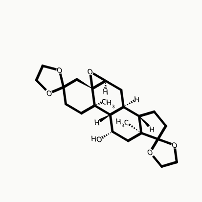 C[C@]12C[C@H](O)[C@H]3[C@@H](C[C@@H]4O[C@]45CC4(CC[C@]35C)OCCO4)[C@@H]1CCC21OCCO1